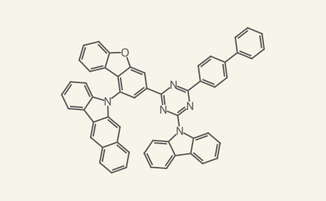 c1ccc(-c2ccc(-c3nc(-c4cc(-n5c6ccccc6c6cc7ccccc7cc65)c5c(c4)oc4ccccc45)nc(-n4c5ccccc5c5ccccc54)n3)cc2)cc1